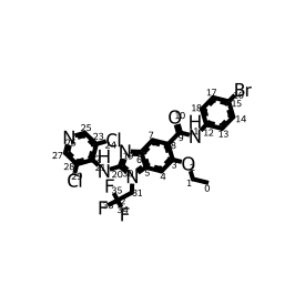 CCOc1cc2c(cc1C(=O)Nc1ccc(Br)cc1)nc(Nc1c(Cl)cncc1Cl)n2CC(F)(F)F